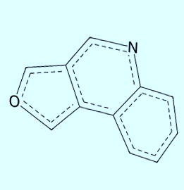 c1ccc2c(c1)ncc1cocc12